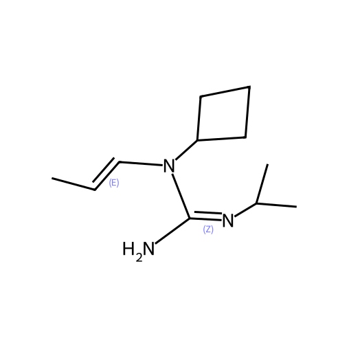 C/C=C/N(/C(N)=N\C(C)C)C1CCC1